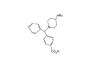 CCCCC1CCN(C(c2ccccc2)c2ccc(C(=O)O)cc2)CC1